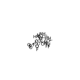 CC1=C2c3c(C(F)(F)F)nn(CC(=O)N[C@@H](Cc4cc(F)cc(F)c4)c4nc(C#CC(C)(C)S(C)(=O)=O)ccc4-c4ccc(Cl)c5c(N)n[nH]c45)c3C(F)(F)[C@H]12